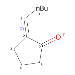 CCCC/C=C1/CCCC1=O